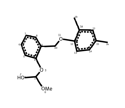 COC(O)Oc1ccccc1COc1ccc(C)cc1C